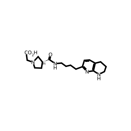 O=C(O)CN1CC[C@@H](C(=O)NCCCCc2ccc3c(n2)NCCC3)C1